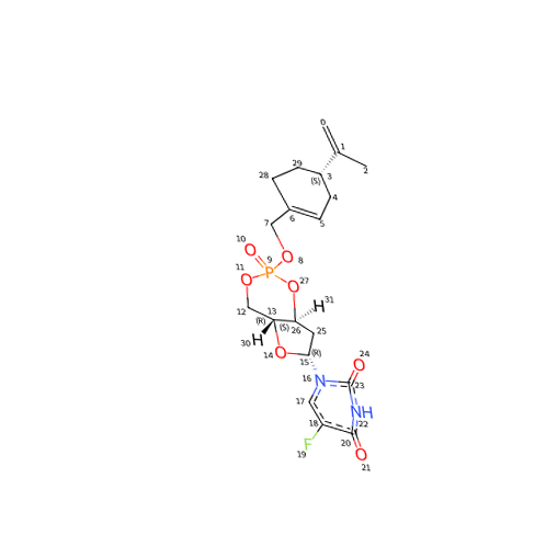 C=C(C)[C@@H]1CC=C(COP2(=O)OC[C@H]3O[C@@H](n4cc(F)c(=O)[nH]c4=O)C[C@@H]3O2)CC1